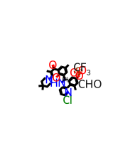 Cc1cc([C@@H](C)Nc2ccc(Cl)nc2-c2ccc(OS(=O)(=O)C(F)(F)F)c(C=O)c2C)c2oc(N3CCC(C)(C)CC3)c(C)c(=O)c2c1